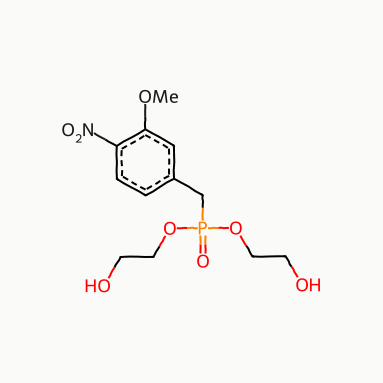 COc1cc(CP(=O)(OCCO)OCCO)ccc1[N+](=O)[O-]